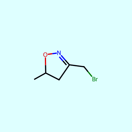 CC1CC(CBr)=NO1